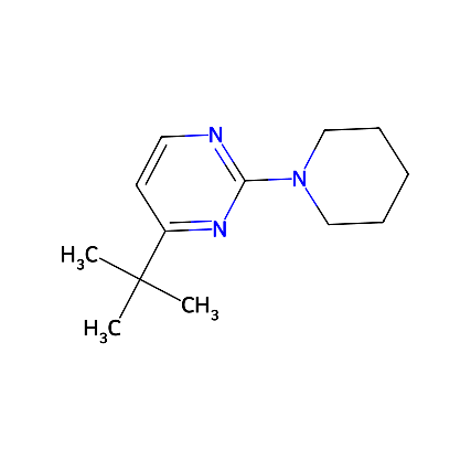 CC(C)(C)c1ccnc(N2CCCCC2)n1